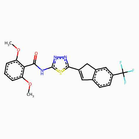 COc1cccc(OC)c1C(=O)Nc1nnc(C2=Cc3ccc(C(F)(F)F)cc3C2)s1